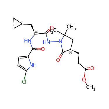 COC(=O)CC[C@@H]1CC(C)(C)N(NC(=O)[C@H](CC2CC2)NC(=O)c2ccc(Cl)[nH]2)C1=O